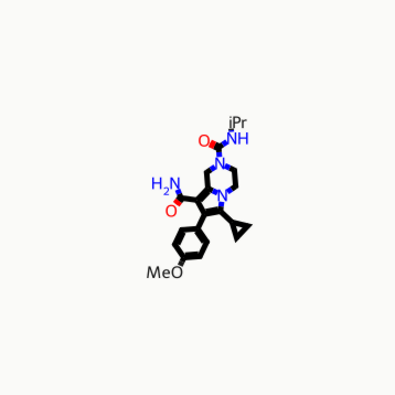 COc1ccc(-c2c(C(N)=O)c3n(c2C2CC2)CCN(C(=O)NC(C)C)C3)cc1